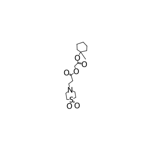 CC1(OC(=O)COC(=O)CCN2CCS(=O)(=O)CC2)CCCCC1